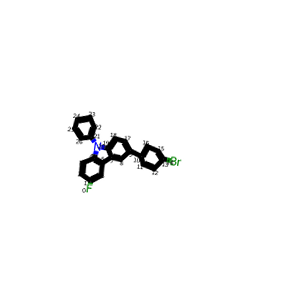 Fc1ccc2c(c1)c1cc(-c3ccc(Br)cc3)ccc1n2-c1ccccc1